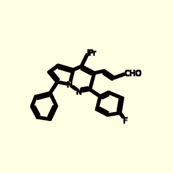 CC(C)c1c(/C=C/C=O)c(-c2ccc(F)cc2)nn2c(-c3ccccc3)ccc12